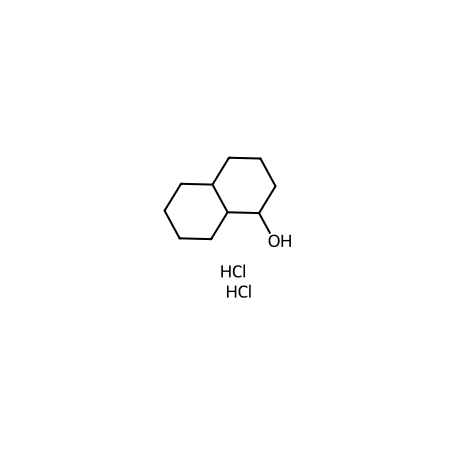 Cl.Cl.OC1CCCC2CCCCC12